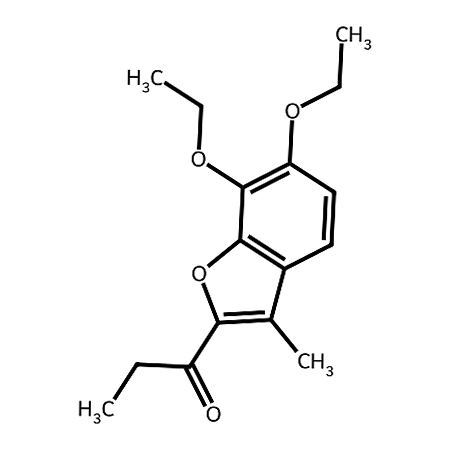 CCOc1ccc2c(C)c(C(=O)CC)oc2c1OCC